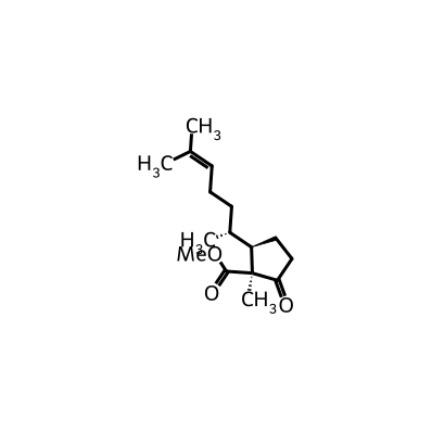 COC(=O)[C@]1(C)C(=O)CC[C@@H]1[C@H](C)CCC=C(C)C